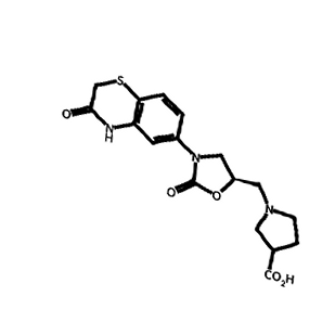 O=C1CSc2ccc(N3C[C@@H](CN4CCC(C(=O)O)C4)OC3=O)cc2N1